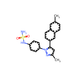 Cc1ccc2cc(-c3cc(C)nn3-c3ccc(NS(N)(=O)=O)cc3)ccc2c1